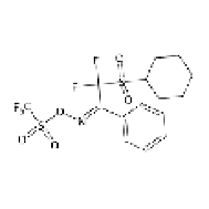 O=S(=O)(ON=C(c1ccccc1)C(F)(F)S(=O)(=O)C1CCCCC1)C(F)(F)F